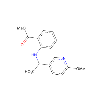 COC(=O)c1ccccc1NC(C(=O)O)c1ccc(OC)nc1